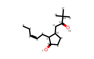 CC/C=C\CC1C(=O)CCC1CC(=O)C(C)(C)C